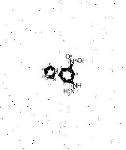 NNc1cccc([N+](=O)[O-])c1.c1cscn1